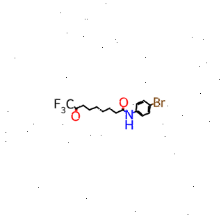 O=C(CCCCCCC(=O)C(F)(F)F)Nc1ccc(Br)cc1